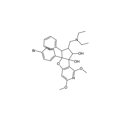 CCN(CC)CC1C(O)C2(O)c3c(cc(OC)nc3OC)OC2(c2ccc(Br)cc2)C1c1ccccc1